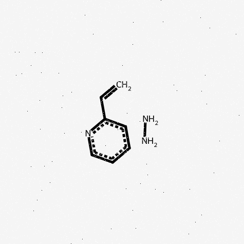 C=Cc1ccccn1.NN